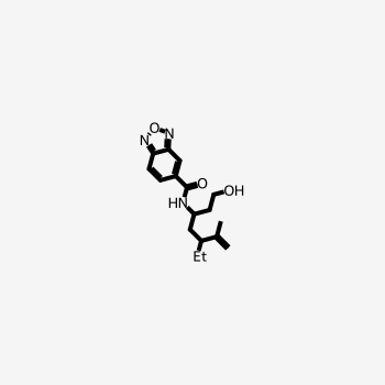 C=C(C)C(CC)CC(CCO)NC(=O)c1ccc2nonc2c1